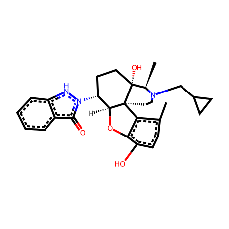 Cc1ccc(O)c2c1[C@]13CCN(CC4CC4)[C@H](C)[C@]1(O)CC[C@@H](n1[nH]c4ccccc4c1=O)[C@@H]3O2